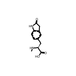 CN[C@@H](Cc1ccc2c(c1)CC(=O)N2)C(=O)O